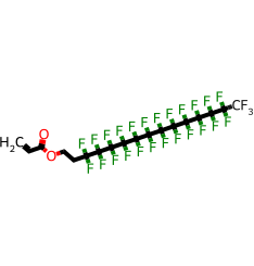 C=CC(=O)OCCC(F)(F)C(F)(F)C(F)(F)C(F)(F)C(F)(F)C(F)(F)C(F)(F)C(F)(F)C(F)(F)C(F)(F)C(F)(F)C(F)(F)C(F)(F)F